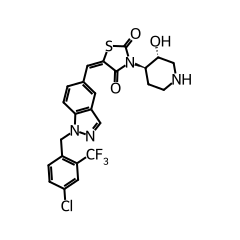 O=C1SC(=Cc2ccc3c(cnn3Cc3ccc(Cl)cc3C(F)(F)F)c2)C(=O)N1[C@@H]1CCNC[C@H]1O